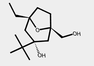 CC[C@]12CC[C@](CO)(C[C@@](O)(C(C)(C)C)C1)O2